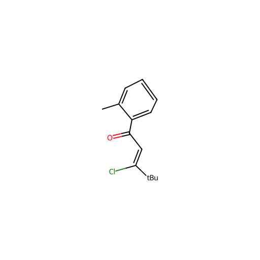 Cc1ccccc1C(=O)/C=C(\Cl)C(C)(C)C